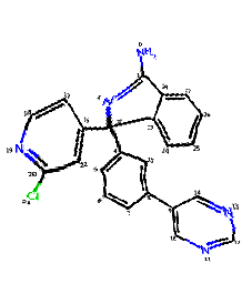 NC1=NC(c2cccc(-c3cncnc3)c2)(c2ccnc(Cl)c2)c2ccccc21